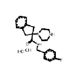 Cl.Cl.O=C(NCc1ccc(F)cc1)C1(N2CCNCC2)Cc2ccccc2C1